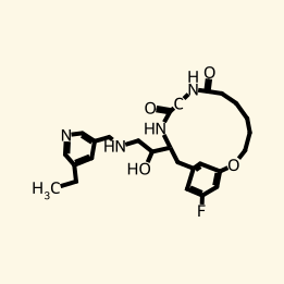 CCc1cncc(CNCC(O)C2Cc3cc(F)cc(c3)OCCCCCC(=O)NCC(=O)N2)c1